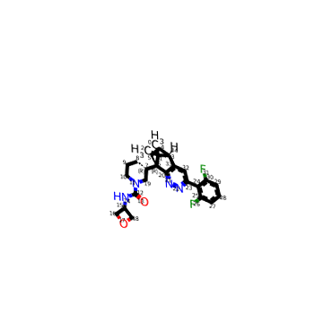 CC1(C)[C@H]2CC[C@]1([C@H]1CCCN(C(=O)NC3COC3)C1)c1nnc(-c3c(F)cccc3F)cc12